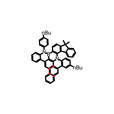 CCCCc1ccc(N2B3c4ccc5c(c4N(c4ccc(CCCC)cc4-c4ccccc4)c4cc(-c6ccccc6)cc(c43)-c3ccccc32)-c2ccccc2C5(C)C)cc1